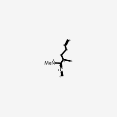 C=C=C(NC)C(C)CCC=C